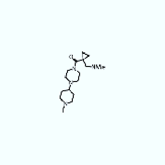 CNCC1(C(=O)N2CCN(C3CCN(I)CC3)CC2)CC1